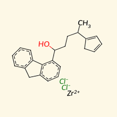 CC(CCC(O)c1cccc2c1-c1ccccc1C2)C1=CC=CC1.[Cl-].[Cl-].[Zr+2]